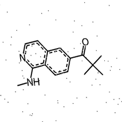 CNc1nccc2cc(C(=O)C(C)(C)C)ccc12